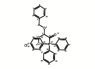 COC(OCc1ccccc1)C(=O)[P+](c1ccccc1)(c1ccccc1)c1ccccc1.[Cl-]